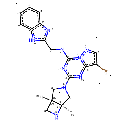 Brc1cnn2c(NCc3nc4ccccc4[nH]3)nc(N3C[C@@H]4CN[C@@H]4C3)nc12